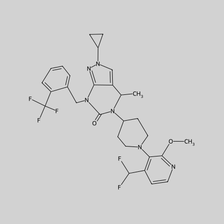 COc1nccc(C(F)F)c1N1CCC(N2C(=O)N(Cc3ccccc3C(F)(F)F)c3nn(C4CC4)cc3C2C)CC1